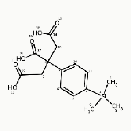 C[Si](C)(C)c1ccc(C(CC(=O)O)(CC(=O)O)C(=O)O)cc1